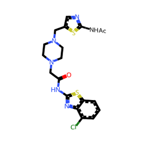 CC(=O)Nc1ncc(CN2CCN(CC(=O)Nc3nc4c(Cl)cccc4s3)CC2)s1